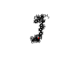 CCN(CC)[C@H](C(=O)N1C[Si](C)(C)C[C@H]1c1ncc(-c2ccc3c(c2)C(F)(F)c2cc(-c4ccc5nc([C@@H]6[C@H]7CC[C@H](C7)N6C(=O)[C@@H](NC(=O)OC)C(C)C)[nH]c5c4)ccc2-3)[nH]1)c1ccccc1